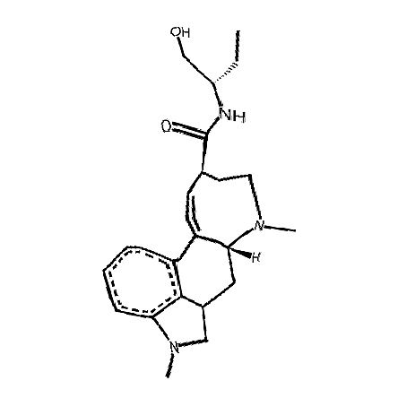 CC[C@@H](CO)NC(=O)[C@@H]1C=C2c3cccc4c3C(C[C@H]2N(C)C1)CN4C